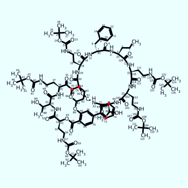 CCC[C@@H]1NC(=O)[C@@H](Cc2ccccc2)NC(=O)[C@H](CCNC(=O)OC(C)(C)C)NC(=O)[C@@H](NC(=O)[C@H](CCNC(=O)OC(C)(C)C)NC(=O)[C@@H](NC(=O)[C@H](CCNC(=O)OC(C)(C)C)OC(=O)c2ccc(-c3ccccc3)cc2OC2CCCCO2)C(C)O)CCNC(=O)[C@H](C(C)O)NC(=O)[C@H](CCNC(=O)OC(C)(C)C)NC(=O)[C@H](CCNC(=O)OC(C)(C)C)NC1=O